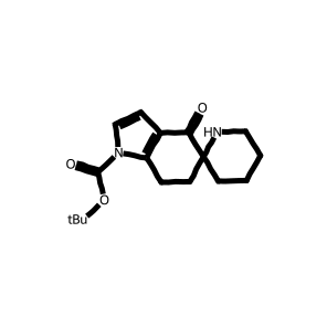 CC(C)(C)OC(=O)n1ccc2c1CCC1(CCCCN1)C2=O